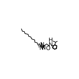 CCCCCCCCCCCCn1nnc(CC(=O)Nc2ccccc2C(C)C)n1